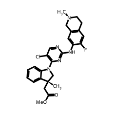 COC(=O)C[C@@]1(C)CN(c2nc(Nc3cc4c(cc3F)CCN(C)C4)ncc2Cl)c2ccccc21